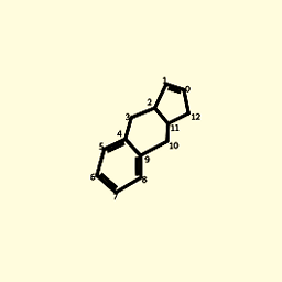 C1=CC2Cc3ccccc3CC2C1